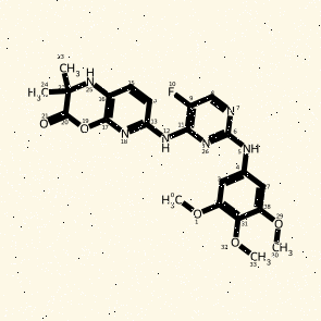 COc1cc(Nc2ncc(F)c(Nc3ccc4c(n3)OC(=O)C(C)(C)N4)n2)cc(OC)c1OC